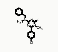 Cn1c(-c2ccc(Cl)cc2)nc(N(N)Cc2ccccc2)nc1=O